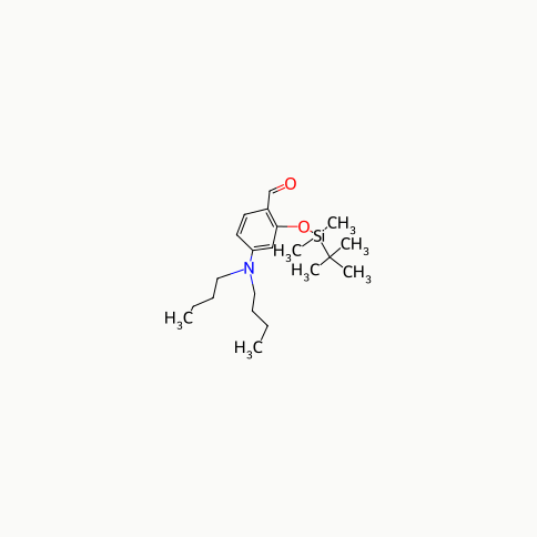 CCCCN(CCCC)c1ccc(C=O)c(O[Si](C)(C)C(C)(C)C)c1